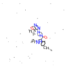 Cc1ccc(C(CNC(C)C)C(=O)N2CCN(c3ncnc4c3[C@H](C)OC4)CC2)cc1